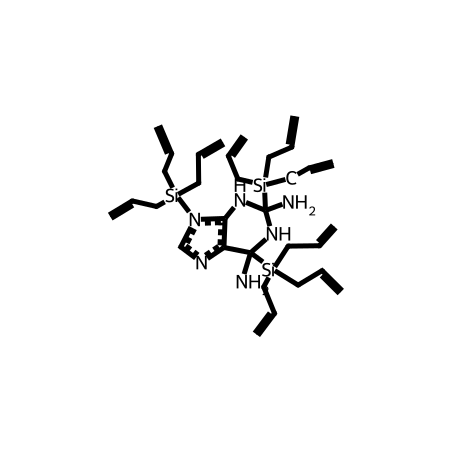 C=CC[Si](CC=C)(CC=C)n1cnc2c1NC(N)([Si](CC=C)(CC=C)CC=C)NC2(N)[Si](CC=C)(CC=C)CC=C